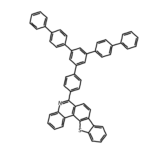 c1ccc(-c2ccc(-c3cc(-c4ccc(-c5ccccc5)cc4)cc(-c4ccc(-c5nc6ccccc6c6c5ccc5c7ccccc7sc56)cc4)c3)cc2)cc1